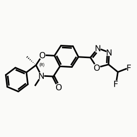 CN1C(=O)c2cc(-c3nnc(C(F)F)o3)ccc2O[C@]1(C)c1ccccc1